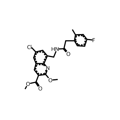 COC(=O)c1cc2cc(Cl)cc(CNC(=O)Cc3ccc(F)cc3C)c2nc1OC